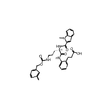 Cc1cccc(COC(=O)NCCC[C@H](NC(=O)c2cc3ccccc3n2C)C(=O)Nc2ccccc2CCC(=O)O)c1